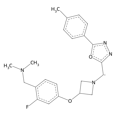 Cc1ccc(-c2nnc([C]N3CC(Oc4ccc(CN(C)C)c(F)c4)C3)o2)cc1